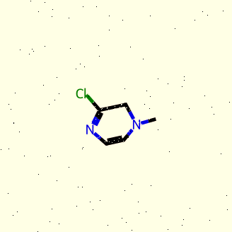 CN1C=CN=C(Cl)C1